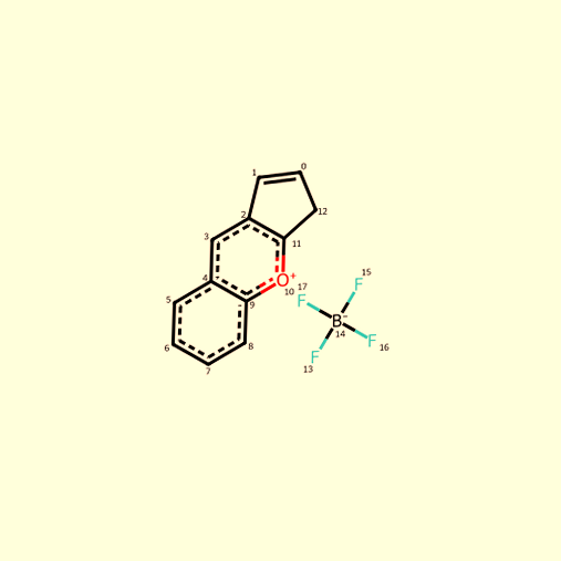 C1=Cc2cc3ccccc3[o+]c2C1.F[B-](F)(F)F